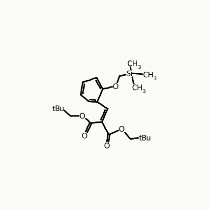 CC(C)(C)COC(=O)C(=Cc1ccccc1OC[Si](C)(C)C)C(=O)OCC(C)(C)C